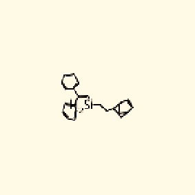 C1=CC2CC1CC2CC[SiH2]C=C(c1ccccc1)c1ccccc1